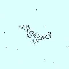 Cc1nc(N2CCC3(CC2)CN(c2ccnc(Cl)c2)C[C@H]3N)n2ccnc2c1Sc1ccnc(N)c1C